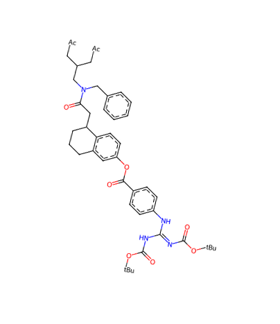 CC(=O)CC(CC(C)=O)CN(Cc1ccccc1)C(=O)CC1CCCc2cc(OC(=O)c3ccc(N/C(=N\C(=O)OC(C)(C)C)NC(=O)OC(C)(C)C)cc3)ccc21